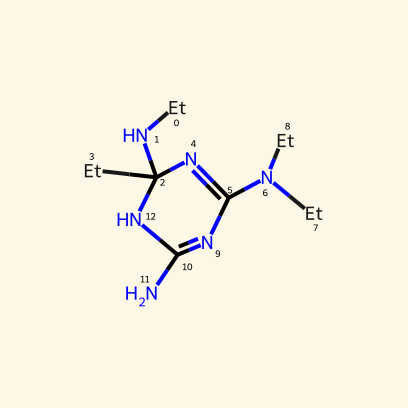 CCNC1(CC)N=C(N(CC)CC)N=C(N)N1